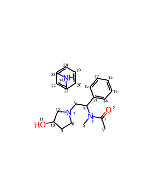 CC(=O)N(C)C(CN1CCC(O)C1)c1ccccc1.c1cc2cc(c1)N2